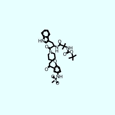 CC(C)(C)OC(=O)NC(C)(C)C(=O)NC(Cc1c[nH]c2ccccc12)C(=O)N1CCC2(CC1)CC(=O)c1cc(NS(C)(=O)=O)ccc1O2